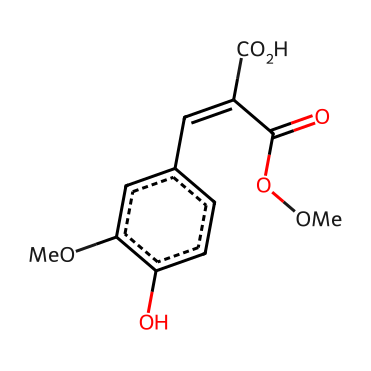 COOC(=O)C(=Cc1ccc(O)c(OC)c1)C(=O)O